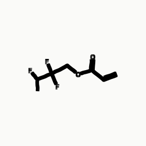 C=CC(=O)OCC(F)(F)C(C)F